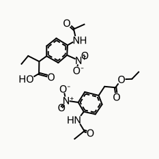 CCC(C(=O)O)c1ccc(NC(C)=O)c([N+](=O)[O-])c1.CCOC(=O)Cc1ccc(NC(C)=O)c([N+](=O)[O-])c1